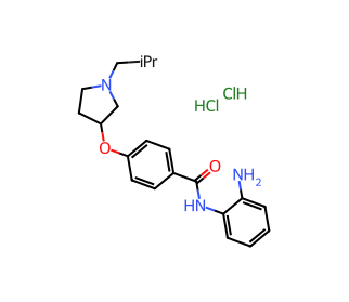 CC(C)CN1CCC(Oc2ccc(C(=O)Nc3ccccc3N)cc2)C1.Cl.Cl